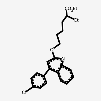 CCOC(=O)C(CC)CCCCOc1cc(-c2ccc(Cl)cc2)c2ccccc2n1